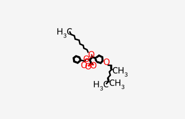 CCCCCCCCCCOc1c(OC(=O)c2ccccc2)c(=O)oc2cc(OCC=C(C)CCC=C(C)C)ccc12